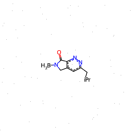 BN1Cc2cc(CC(C)C)nnc2C1=O